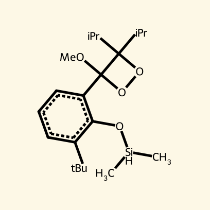 COC1(c2cccc(C(C)(C)C)c2O[SiH](C)C)OOC1(C(C)C)C(C)C